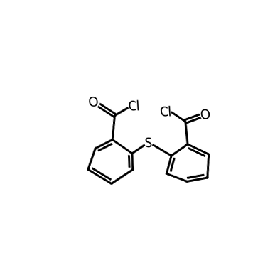 O=C(Cl)c1ccccc1Sc1ccccc1C(=O)Cl